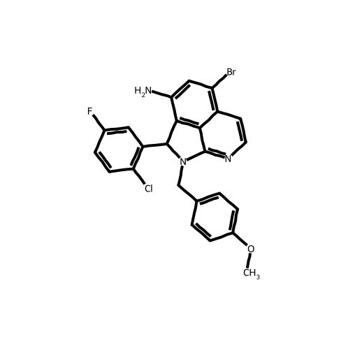 COc1ccc(CN2c3nccc4c(Br)cc(N)c(c34)C2c2cc(F)ccc2Cl)cc1